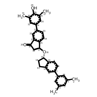 Cc1cc(C)cc(-c2ccc3c(c2)CC[C@@H]3OC2CC(=O)c3cc(-c4cc(C)c(O)c(C)c4)ccc32)c1